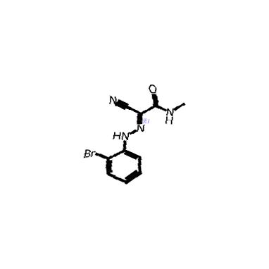 CNC(=O)/C(C#N)=N/Nc1ccccc1Br